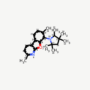 Cc1ccc2c(n1)oc1c(N3C(C)C(C)(C)CC3(C)C)c(C)ccc12